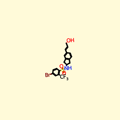 O=S(=O)(NC1Cc2ccc(C=CCO)cc2C1)c1ccc(Br)cc1C(F)(F)F